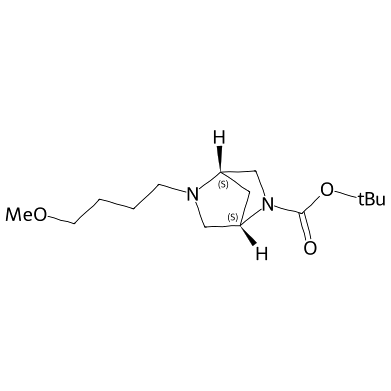 COCCCCN1C[C@@H]2C[C@H]1CN2C(=O)OC(C)(C)C